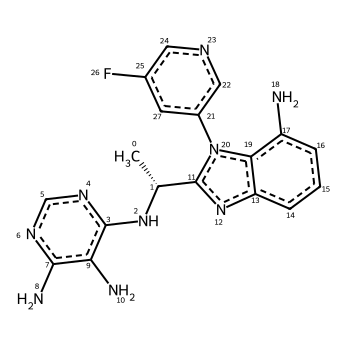 C[C@@H](Nc1ncnc(N)c1N)c1nc2cccc(N)c2n1-c1cncc(F)c1